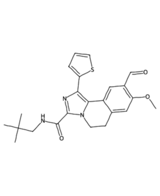 COc1cc2c(cc1C=O)-c1c(-c3cccs3)nc(C(=O)NCC(C)(C)C)n1CC2